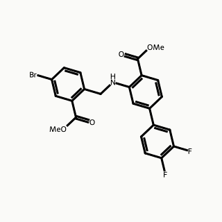 COC(=O)c1cc(Br)ccc1CNc1cc(-c2ccc(F)c(F)c2)ccc1C(=O)OC